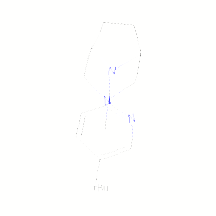 CN1CC2CCC(C1)N2c1ccc(C(C)(C)C)cn1